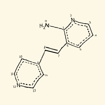 Nc1ncccc1C=Cc1ccncc1